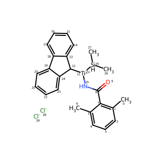 Cc1cccc(C)c1C(=O)[NH][Ti+2]([CH]1c2ccccc2-c2ccccc21)[SiH](C)C.[Cl-].[Cl-]